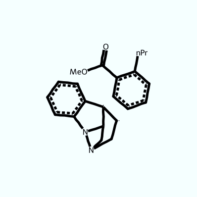 CCCc1ccccc1C(=O)OC.[CH]1CN2CC3[C]1c1ccccc1N32